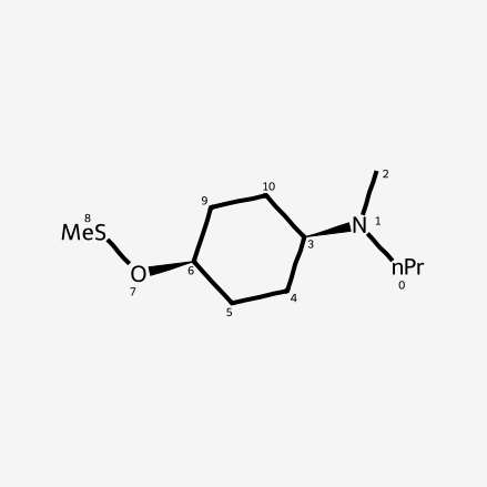 CCCN(C)[C@H]1CC[C@@H](OSC)CC1